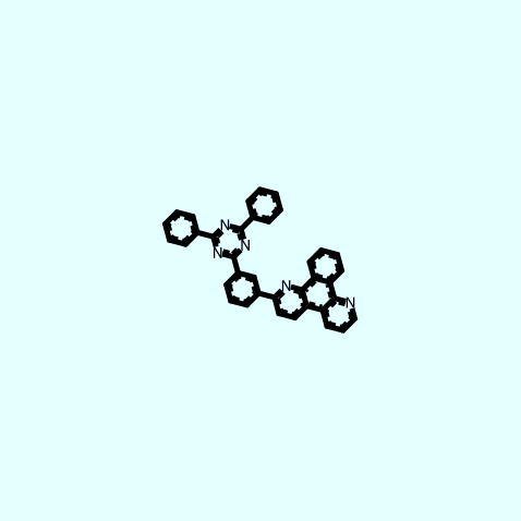 c1ccc(-c2nc(-c3ccccc3)nc(-c3cccc(-c4ccc5c6cccnc6c6ccccc6c5n4)c3)n2)cc1